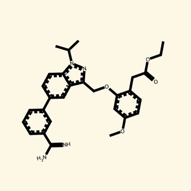 CCOC(=O)Cc1ccc(OC)cc1OCc1nn(C(C)C)c2ccc(-c3cccc(C(=N)N)c3)cc12